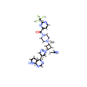 [2H][C@]1(N2CCN(C(=O)c3ccnc(C(F)(F)F)n3)CC2)C[C@@](CC#N)(n2cc(-c3ncnc4[nH]ccc34)cn2)C1